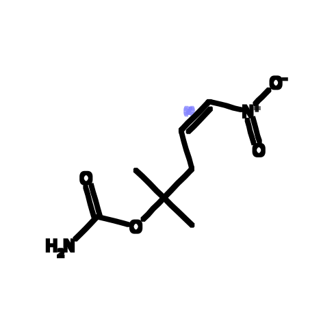 CC(C)(C/C=C\[N+](=O)[O-])OC(N)=O